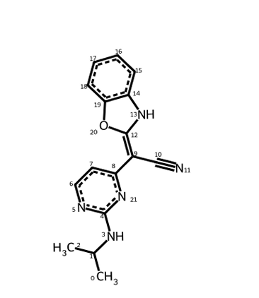 CC(C)Nc1nccc(C(C#N)=C2Nc3ccccc3O2)n1